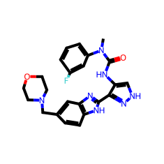 CN(C(=O)Nc1c[nH]nc1-c1nc2cc(CN3CCOCC3)ccc2[nH]1)c1cccc(F)c1